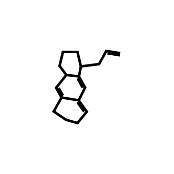 C=CCC1CCCC2C=C3CCCC=C3C=C21